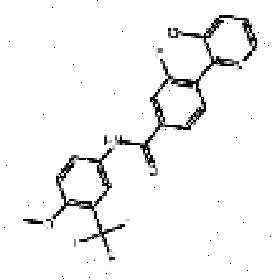 COc1ccc(NC(=O)c2ccc(-c3ncccc3Cl)c(F)c2)cc1C(F)(F)F